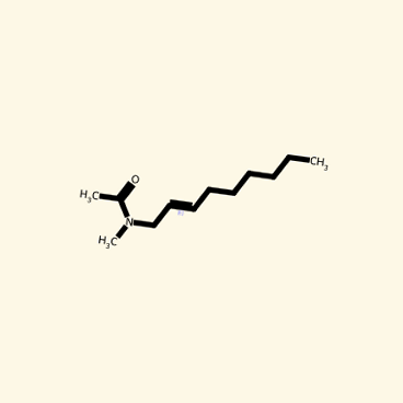 CCCCCC/C=C/CN(C)C(C)=O